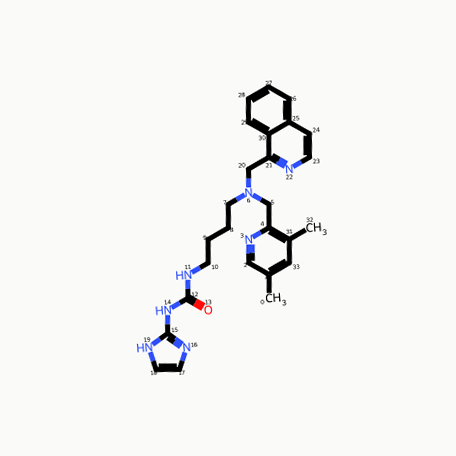 Cc1cnc(CN(CCCCNC(=O)Nc2ncc[nH]2)Cc2nccc3ccccc23)c(C)c1